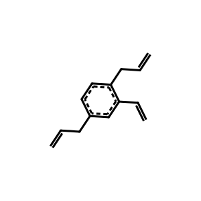 C=CCc1ccc(CC=C)c(C=C)c1